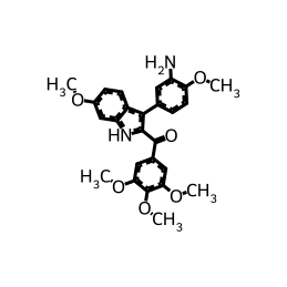 COc1ccc2c(-c3ccc(OC)c(N)c3)c(C(=O)c3cc(OC)c(OC)c(OC)c3)[nH]c2c1